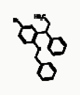 O=C(O)CC(c1ccccc1)c1cc(Br)ccc1OCc1ccccc1